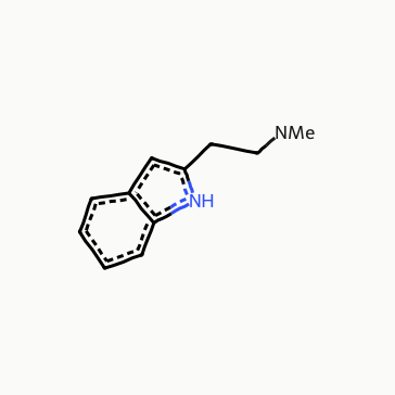 CNCCc1cc2ccccc2[nH]1